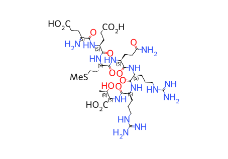 CSCC[C@H](NC(=O)[C@H](CCC(=O)O)NC(=O)[C@@H](N)CCC(=O)O)C(=O)N[C@@H](CCC(N)=O)C(=O)N[C@@H](CCCNC(=N)N)C(=O)N[C@@H](CCCNC(=N)N)C(=O)N[C@H](C(=O)O)[C@@H](C)O